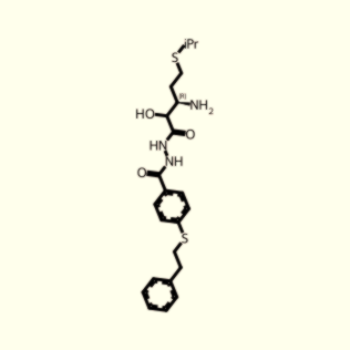 CC(C)SCC[C@@H](N)C(O)C(=O)NNC(=O)c1ccc(SCCc2ccccc2)cc1